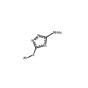 CC(=O)Nc1nnc(SC(C)C)s1